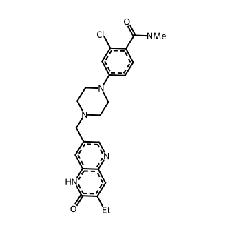 CCc1cc2ncc(CN3CCN(c4ccc(C(=O)NC)c(Cl)c4)CC3)cc2[nH]c1=O